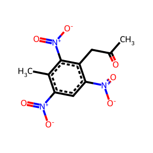 CC(=O)Cc1c([N+](=O)[O-])cc([N+](=O)[O-])c(C)c1[N+](=O)[O-]